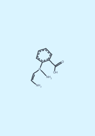 N/C=C\N(N)c1ccccc1C(=O)O